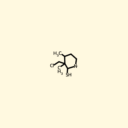 CC1CC[N]C(S)C1(C)CCl